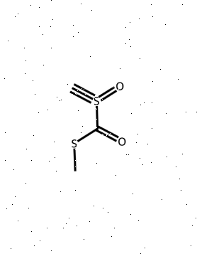 C#S(=O)C(=O)SC